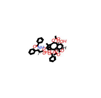 CC(=O)O[C@H]1C(=O)[C@@]2(C)[C@H]([C@H](OC(=O)c3ccccc3)[C@]3(O)C[C@H](OC(=O)[C@H](C)[C@@H](NC(=O)c4ccccc4)c4ccccc4)C(C)=C1C3(C)C)[C@]1(OC(C)=O)CO[C@@H]1C[C@@H]2O